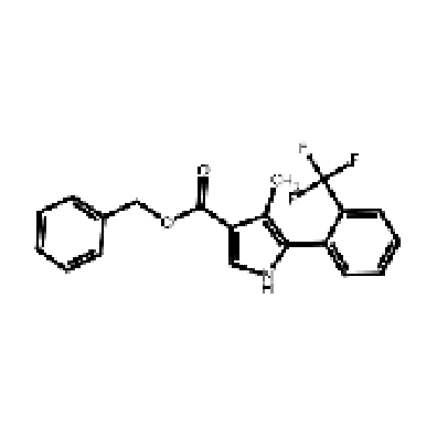 Cc1c(C(=O)OCc2ccccc2)c[nH]c1-c1ccccc1C(F)(F)F